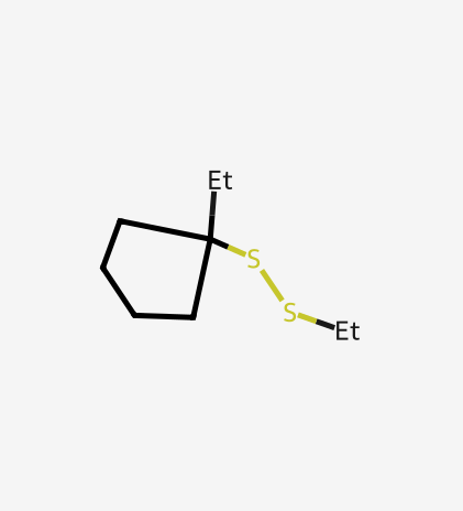 CCSSC1(CC)CCCC1